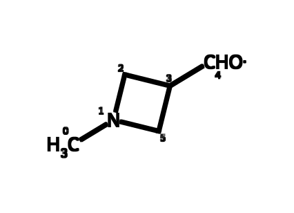 CN1CC([C]=O)C1